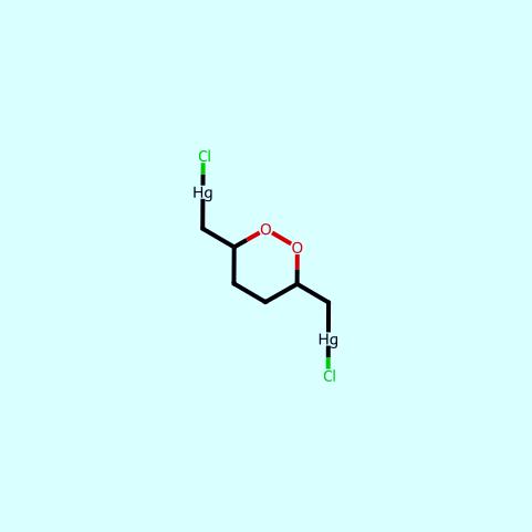 [Cl][Hg][CH2]C1CCC([CH2][Hg][Cl])OO1